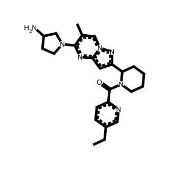 CCc1ccc(C(=O)N2CCCCC2c2cc3nc(N4CCC(N)C4)c(C)cn3n2)nc1